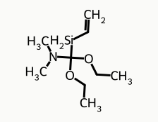 C=C[SiH2]C(OCC)(OCC)N(C)C